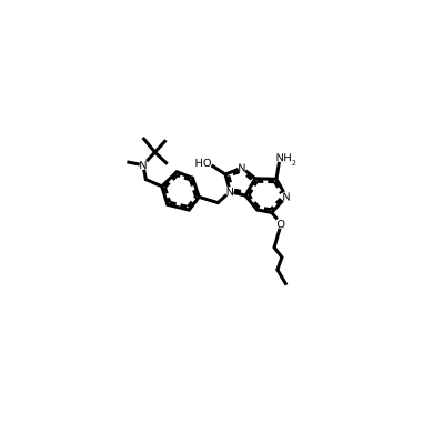 CCCCOc1cc2c(nc(O)n2Cc2ccc(CN(C)C(C)(C)C)cc2)c(N)n1